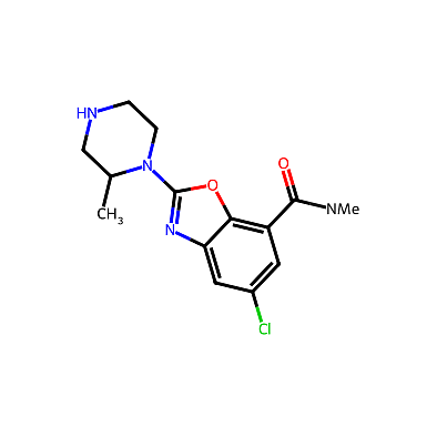 CNC(=O)c1cc(Cl)cc2nc(N3CCNCC3C)oc12